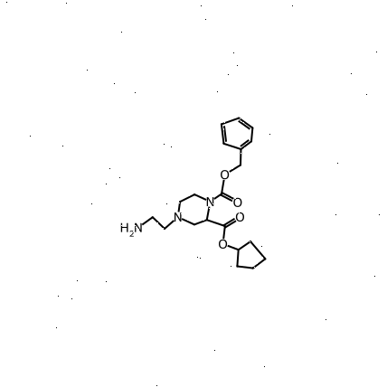 NCCN1CCN(C(=O)OCc2ccccc2)C(C(=O)OC2CCCC2)C1